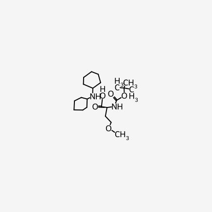 C1CCC(NC2CCCCC2)CC1.COCCC(NC(=O)OC(C)(C)C)C(=O)O